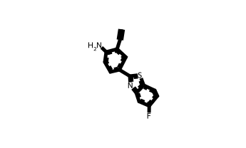 C#Cc1cc(-c2nc3cc(F)ccc3s2)ccc1N